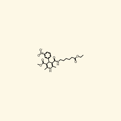 CCOC(=O)CCCCCNC(=O)C1=C(C)NC(C)=C(C(=O)OC)C1c1cccc([N+](=O)[O-])c1